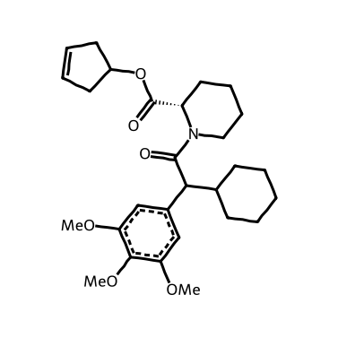 COc1cc(C(C(=O)N2CCCC[C@H]2C(=O)OC2CC=CC2)C2CCCCC2)cc(OC)c1OC